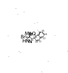 COc1c(-c2n[nH]c(Br)c2Br)ccc2ccccc12